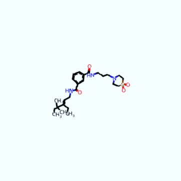 CC/C(=C\CNC(=O)c1cccc(C(=O)NCCCN2CCS(=O)(=O)CC2)c1)C(C)(C)CC